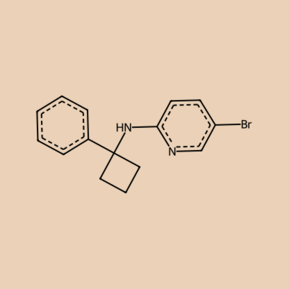 Brc1ccc(NC2(c3ccccc3)CCC2)nc1